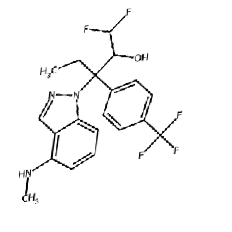 CCC(c1ccc(C(F)(F)F)cc1)(C(O)C(F)F)n1ncc2c(NC)cccc21